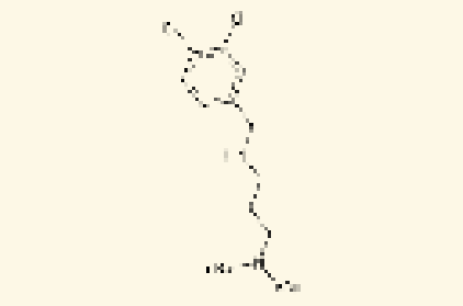 CCCCN(CCCC)CCCNCc1ccc(Cl)c(Cl)c1